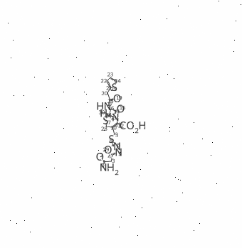 NC(=O)Cc1nnc(SCC2=C(C(=O)O)N3C(=O)C(NC(=O)Cc4cccs4)[C@H]3SC2)o1